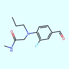 CCCN(CC(=O)NC)c1ccc(C=O)cc1F